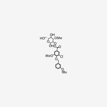 COc1cc(C(=O)OO[C@@H]2[C@@H](OC)[C@H](O)[C@@H](CO)O[C@@H]2O)cc(Cl)c1OCc1cccc(OC(C)(C)C)c1